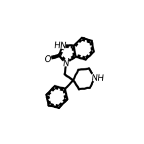 O=c1[nH]c2ccccc2n1CC1(c2ccccc2)CCNCC1